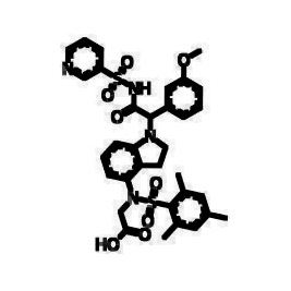 COc1cccc(C(C(=O)NS(=O)(=O)c2cccnc2)N2CCc3c2cccc3N(CC(=O)O)S(=O)(=O)c2c(C)cc(C)cc2C)c1